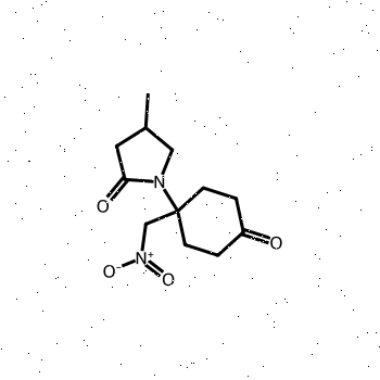 CC1CC(=O)N(C2(C[N+](=O)[O-])CCC(=O)CC2)C1